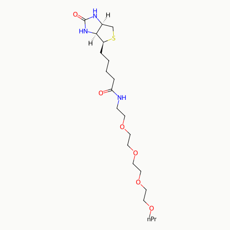 CCCOCCOCCOCCOCCNC(=O)CCCC[C@@H]1SC[C@@H]2NC(=O)N[C@@H]21